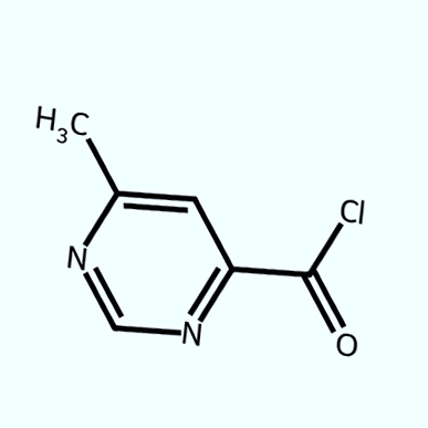 Cc1cc(C(=O)Cl)ncn1